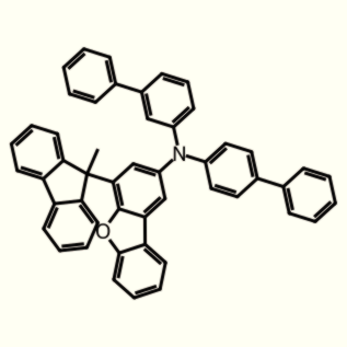 CC1(c2cc(N(c3ccc(-c4ccccc4)cc3)c3cccc(-c4ccccc4)c3)cc3c2oc2ccccc23)c2ccccc2-c2ccccc21